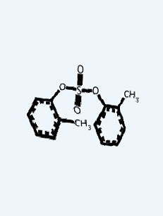 Cc1ccccc1OS(=O)(=O)Oc1ccccc1C